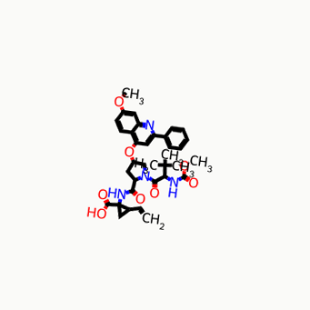 C=CC1CC1(NC(=O)C1CC(Oc2cc(-c3ccccc3)nc3cc(OC)ccc23)CN1C(=O)C(NC(=O)OC)C(C)(C)C)C(=O)O